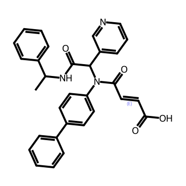 CC(NC(=O)C(c1cccnc1)N(C(=O)/C=C/C(=O)O)c1ccc(-c2ccccc2)cc1)c1ccccc1